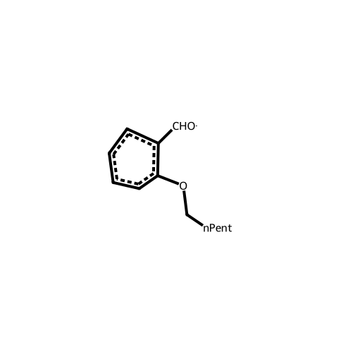 CCCCCCOc1ccccc1[C]=O